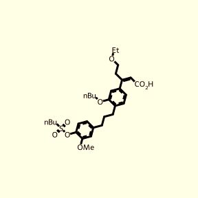 CCCCOc1cc(/C(=C\C(=O)O)CCOCC)ccc1CCCc1ccc(OS(=O)(=O)CCCC)c(OC)c1